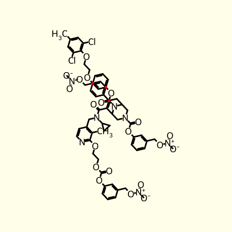 Cc1cc(Cl)c(OCCOc2ccc(C3=C(C(=O)N(Cc4ccnc(OCCOC(=O)Oc5cccc(CO[N+](=O)[O-])c5)c4C)C4CC4)C4CN(C(=O)Oc5cccc(CO[N+](=O)[O-])c5)CC(C3)N4C(=O)Oc3cccc(CO[N+](=O)[O-])c3)cc2)c(Cl)c1